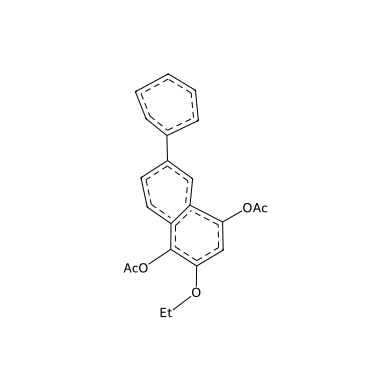 CCOc1cc(OC(C)=O)c2cc(-c3ccccc3)ccc2c1OC(C)=O